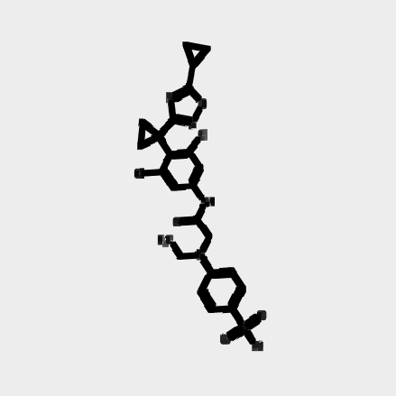 CCS(=O)(=O)c1ccc(N(CC(=O)Nc2cc(Cl)c(C3(c4noc(C5CC5)n4)CC3)c(Cl)c2)CC(F)(F)F)cc1